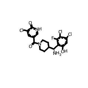 N[C@@H](c1c(O)cc(Cl)c(Cl)c1F)C1CCN(C(=O)c2c[nH]c(=O)c(Cl)c2)CC1